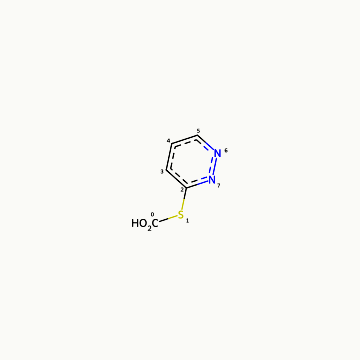 O=C(O)Sc1cccnn1